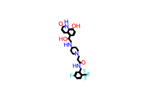 O=C(CCN1CCC(NCC(O)c2ccc(O)c3[nH]c(=O)ccc23)CC1)NCc1cc(F)ccc1C(F)(F)F